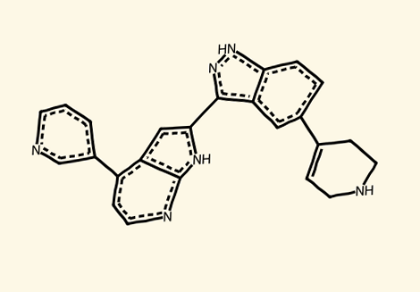 C1=C(c2ccc3[nH]nc(-c4cc5c(-c6cccnc6)ccnc5[nH]4)c3c2)CCNC1